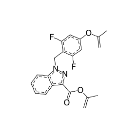 C=C(C)OC(=O)c1nn(Cc2c(F)cc(OC(=C)C)cc2F)c2ccccc12